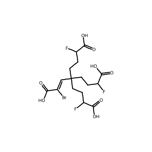 O=C(O)/C(Br)=C/C(CCC(F)C(=O)O)(CCC(F)C(=O)O)CCC(F)C(=O)O